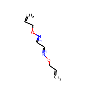 C=CCO/N=C/C=N/OCC=C